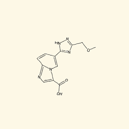 COCc1n[nH]c(-c2ccc3ncc(C(=O)O)n3c2)n1